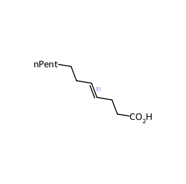 CCCCCCC/C=C/CCC(=O)O